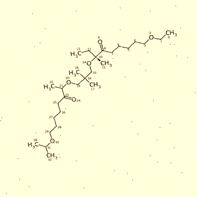 CCOCCCCCC(=O)[C@@](C)(CC)OCC(C)(C)COC(C)C(=O)CCCCCOC(C)C